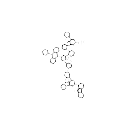 CC(C)(C)c1cc2c3ccccc3n3c4cccc(-c5cccc6c5c5cc(-c7c8ccccc8c(-c8ccccc8)c8ccccc78)cc7c8cc(-c9ccc%10c(c9)c9cc(-c%11cccc%12c%11oc%11ccccc%11%12)cc%11c%12ccccc%12n%10c%119)ccc8n6c75)c4c(c1)c23